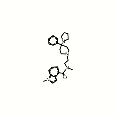 CN(CCN1CCC(c2ccccc2)(N2CCCC2)CC1)C(=O)c1cccc2c1ccn2C